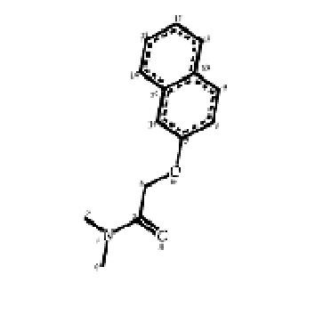 CN(C)C(=O)COc1ccc2cc[c]cc2c1